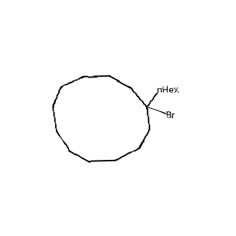 CCCCCCC1(Br)CCCCCCCCCCC1